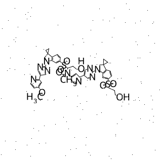 COc1ccnc(-c2cnc(N3CC4(CC4)c4ccc(S(=O)(=O)C(CCO)N(C(C)=O)c5ccnc(-c6cnc(N7CC8(CC8)c8ccc(S(=O)(=O)CCCO)cc87)nc6)c5)cc43)nc2)c1